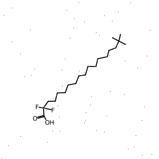 CC(C)(C)CCCCCCCCCCCCCCC(F)(F)C(=O)O